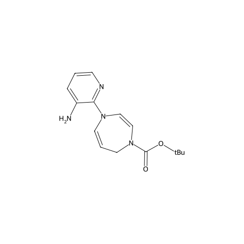 CC(C)(C)OC(=O)N1C=CN(c2ncccc2N)C=CC1